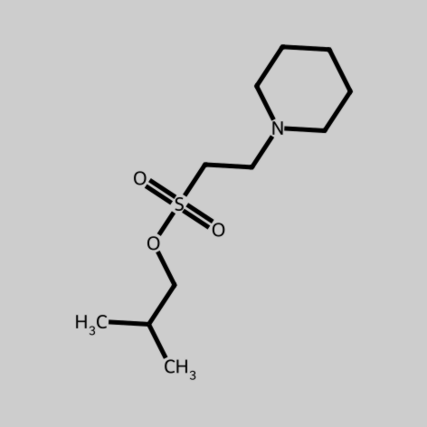 CC(C)COS(=O)(=O)CCN1CCCCC1